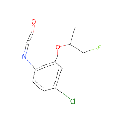 CC(CF)Oc1cc(Cl)ccc1N=C=O